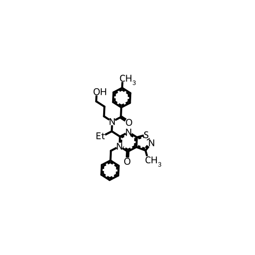 CCC(c1nc2snc(C)c2c(=O)n1Cc1ccccc1)N(CCCO)C(=O)c1ccc(C)cc1